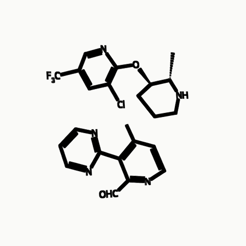 C[C@@H]1NCCC[C@H]1Oc1ncc(C(F)(F)F)cc1Cl.Cc1ccnc(C=O)c1-c1ncccn1